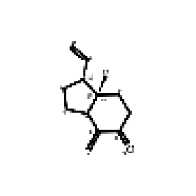 C=C[C@@H]1CCC2C(=C)C(=O)CC[C@]21C